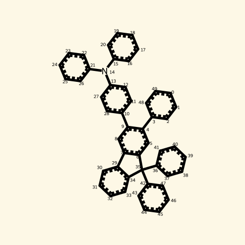 c1ccc(-c2cc3c(cc2-c2ccc(N(c4ccccc4)c4ccccc4)cc2)-c2ccccc2C3(c2ccccc2)c2ccccc2)cc1